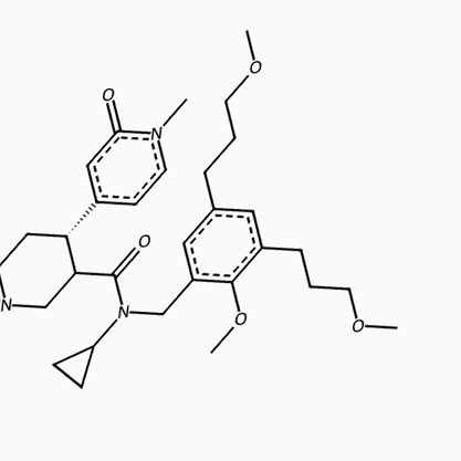 COCCCc1cc(CCCOC)c(OC)c(CN(C(=O)C2CNCC[C@@H]2c2ccn(C)c(=O)c2)C2CC2)c1